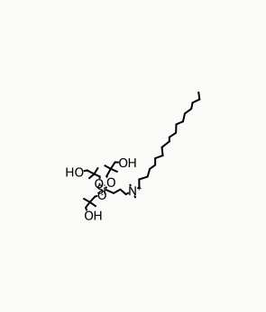 CCCCCCCCCCCCCCCCCC[N+](C)(C)CCC[Si](OCC(C)(C)CO)(OCC(C)(C)CO)OCC(C)(C)CO